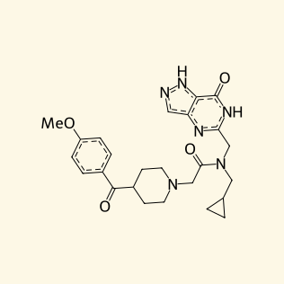 COc1ccc(C(=O)C2CCN(CC(=O)N(Cc3nc4cn[nH]c4c(=O)[nH]3)CC3CC3)CC2)cc1